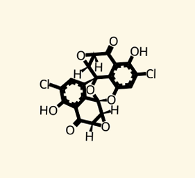 O=C1c2c(O)c(Cl)cc3c2[C@@]2(Oc4cc(Cl)c(O)c5c4[C@]3(O2)[C@@H]2O[C@@H]2C5=O)[C@@H]2O[C@H]12